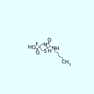 CCCCCNC1C(=O)N2CC(F)(C(=O)O)CS[C@H]12